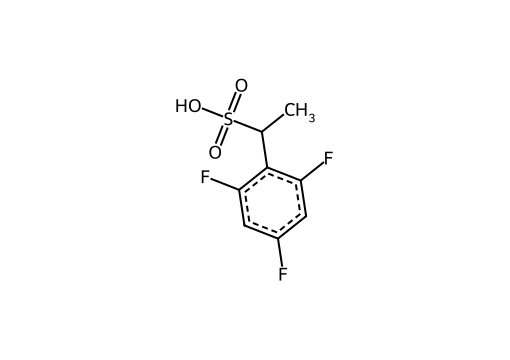 CC(c1c(F)cc(F)cc1F)S(=O)(=O)O